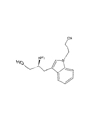 N#CCCn1cc(C[C@H](N)CO)c2ccccc21